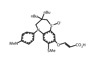 CCCCC1(CCCC)CN(c2ccc(NC)cc2)c2cc(SC)c(O/C=C/C(=O)O)cc2[S+]([O-])C1